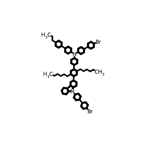 CCCCCCc1cc(-c2ccc3c(c2)c2ccccc2n3-c2ccc(-c3ccc(Br)cc3)cc2)c(CCCCCC)cc1-c1ccc(N(c2ccc(-c3ccc(Br)cc3)cc2)c2ccc(-c3ccc(CCC)cc3)cc2)cc1